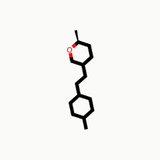 CC1CCC(CCC2CC[C@H](C)OC2)CC1